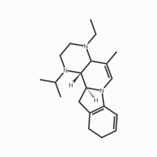 CCN1CCN(C(C)C)[C@@H]2C1C(C)=CN1C3=C(CCC=C3)C[C@@H]21